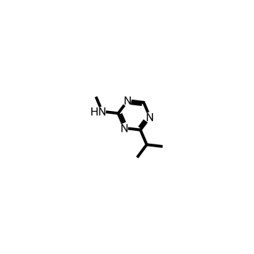 CNc1ncnc(C(C)C)n1